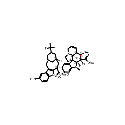 CC[C@]12C=CCN3CC[C@@]4(C5=CC([C@@]6(C(=O)OC)C[C@H]7CC(C(C)(F)F)CN(Cc8c6[nH]c6ccc(N)cc86)C7)C(OC)C=C5N(C)[C@H]4[C@@](O)(C(=O)OC)[C@@H]1OC(C)=O)[C@@H]32